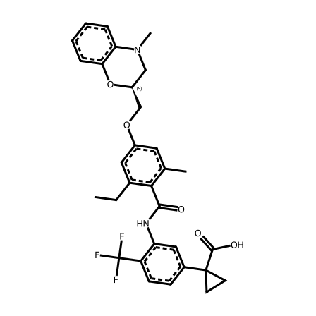 CCc1cc(OC[C@@H]2CN(C)c3ccccc3O2)cc(C)c1C(=O)Nc1cc(C2(C(=O)O)CC2)ccc1C(F)(F)F